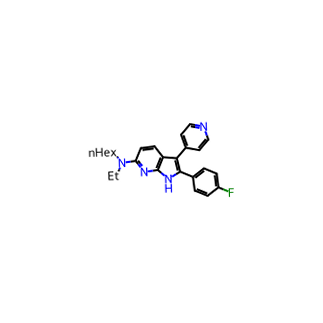 CCCCCCN(CC)c1ccc2c(-c3ccncc3)c(-c3ccc(F)cc3)[nH]c2n1